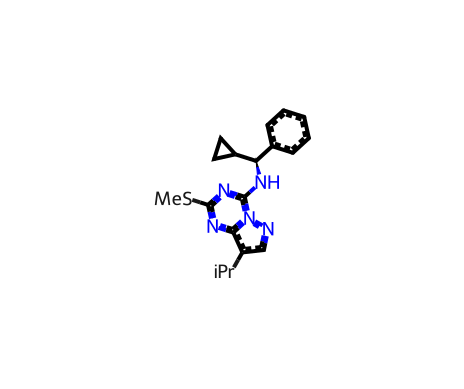 CSc1nc(N[C@H](c2ccccc2)C2CC2)n2ncc(C(C)C)c2n1